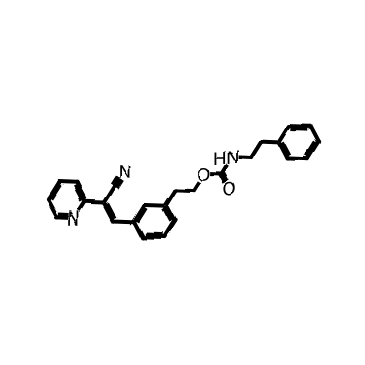 N#CC(=Cc1cccc(CCOC(=O)NCCc2ccccc2)c1)c1ccccn1